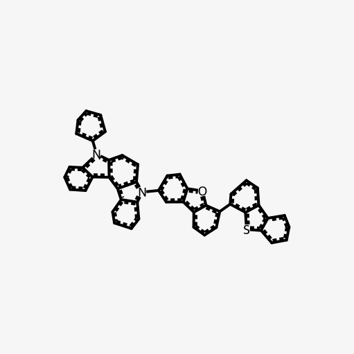 c1ccc(-n2c3ccccc3c3c4c5ccccc5n(-c5ccc6oc7c(-c8cccc9c8sc8ccccc89)cccc7c6c5)c4ccc32)cc1